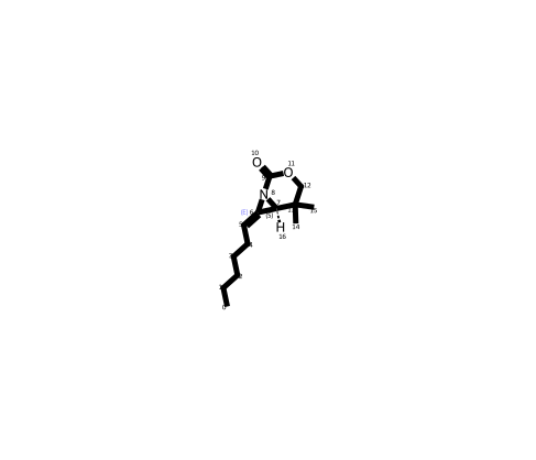 CCCCC/C=C1\[C@H]2N1C(=O)OCC2(C)C